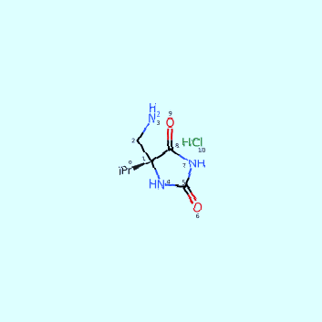 CC(C)[C@]1(CN)NC(=O)NC1=O.Cl